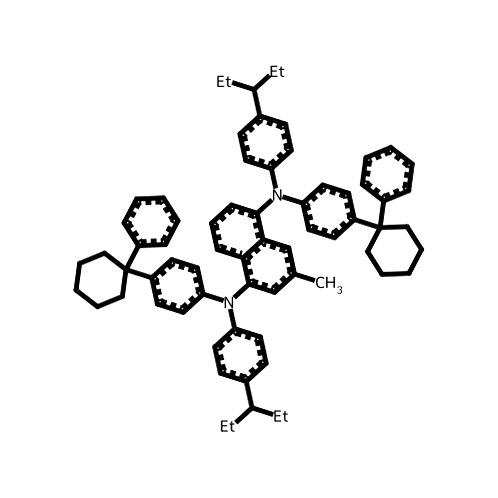 CCC(CC)c1ccc(N(c2ccc(C3(c4ccccc4)CCCCC3)cc2)c2cc(C)cc3c(N(c4ccc(C(CC)CC)cc4)c4ccc(C5(c6ccccc6)CCCCC5)cc4)cccc23)cc1